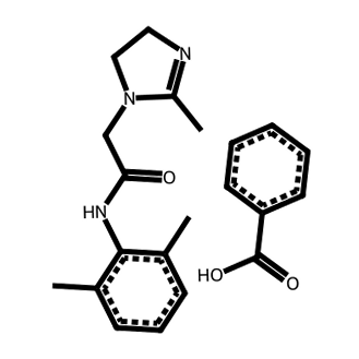 CC1=NCCN1CC(=O)Nc1c(C)cccc1C.O=C(O)c1ccccc1